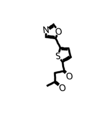 CC(=O)CC(=O)c1ccc(-c2cnco2)s1